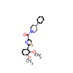 COc1cccc(-c2nc(C(=O)N3CCC(c4ccccc4)CC3)cs2)c1OC